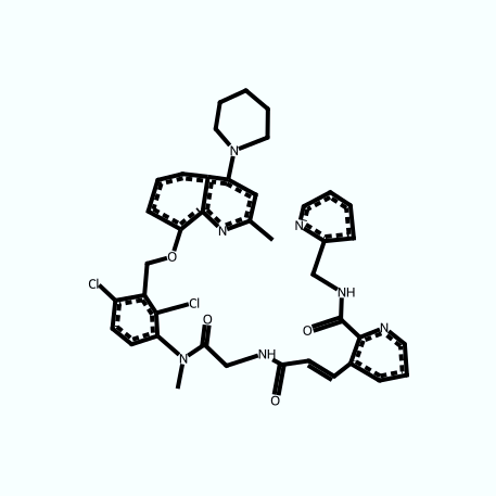 Cc1cc(N2CCCCC2)c2cccc(OCc3c(Cl)ccc(N(C)C(=O)CNC(=O)C=Cc4cccnc4C(=O)NCc4ccccn4)c3Cl)c2n1